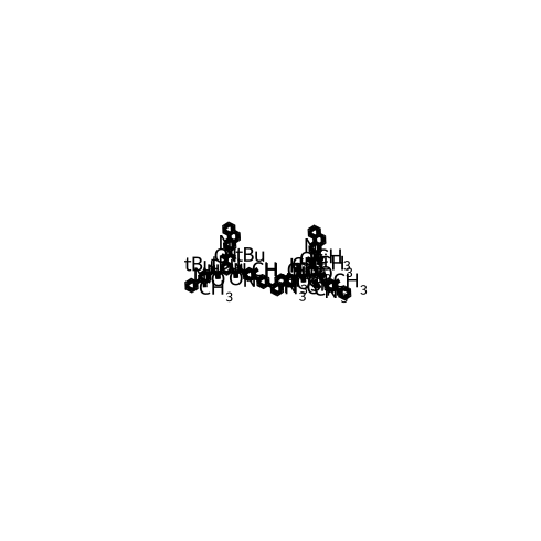 Cc1cc(N(CC(C)(C)C)C(=O)C2CC(C(=O)N(CC(C)(C)C)c3cnc(-c4ccc(-c5cccc6c5ccc5cc(N(C(=O)C7CC(C(=O)N(c8cnc(-c9ccccc9)c(C)c8)[Si](C)(C)C)CC(C(=O)N(c8cnc9c(ccc%10ccccc%109)c8)[Si](C)(C)C)C7)[Si](C)(C)C)cnc56)cc4)c(C)c3)CC(C(=O)N(CC(C)(C)C)c3cnc4c(ccc5ccccc54)c3)C2)cnc1-c1ccccc1